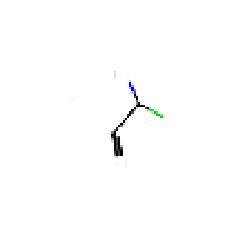 C=CC(N)Cl.O